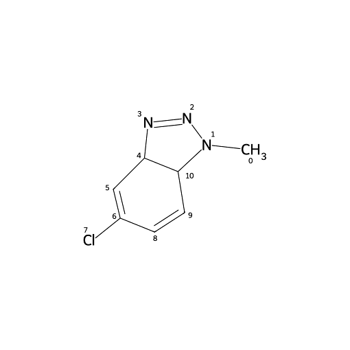 CN1N=NC2C=C(Cl)C=CC21